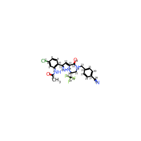 CC(=O)Nc1cc(Cl)ccc1-c1cc2n(n1)[C@@H](C(F)(F)F)CN(Cc1ccc(C#N)cc1)C2=O